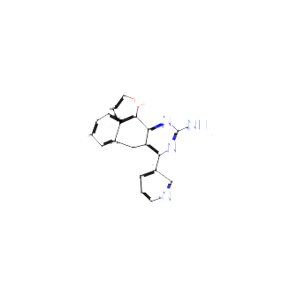 Nc1nc(-c2cccnc2)c(Cc2ccccc2)c(-c2ccco2)n1